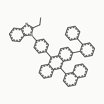 CCc1nc2ccccc2n1-c1ccc(-c2c3ccccc3c(-c3cccc4ccccc34)c3cc(-c4ccccc4-c4ccccc4)ccc23)cc1